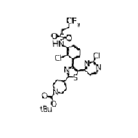 CC(C)(C)OC(=O)N1CCC(c2nc(-c3cccc(NS(=O)(=O)CCC(F)(F)F)c3Cl)c(-c3ccnc(Cl)n3)s2)CC1